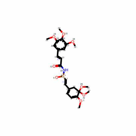 COC1=CC=C(/C=C/[S+]([O-])NC(=O)/C=C/c2cc(OC)c(OC)c(OC)c2)CC1(OC)OC